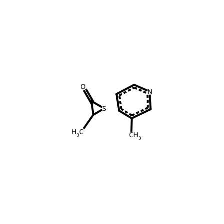 CC1SC1=O.Cc1cccnc1